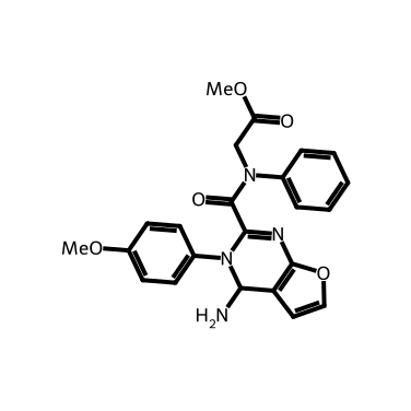 COC(=O)CN(C(=O)C1=Nc2occc2C(N)N1c1ccc(OC)cc1)c1ccccc1